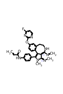 C=CC(=O)Nc1ccc(C2=C3C(=C(/N=C)NCCc4cc(Oc5nccc(F)n5)ccc43)/C(=N\C)N2C)cc1